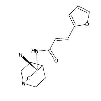 O=C(C=Cc1ccco1)N[C@H]1CN2CCC1CC2